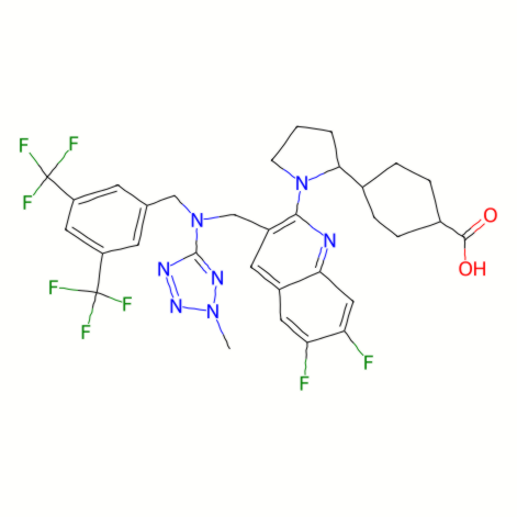 Cn1nnc(N(Cc2cc(C(F)(F)F)cc(C(F)(F)F)c2)Cc2cc3cc(F)c(F)cc3nc2N2CCCC2C2CCC(C(=O)O)CC2)n1